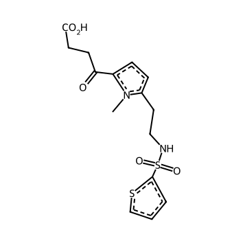 Cn1c(CCNS(=O)(=O)c2cccs2)ccc1C(=O)CCC(=O)O